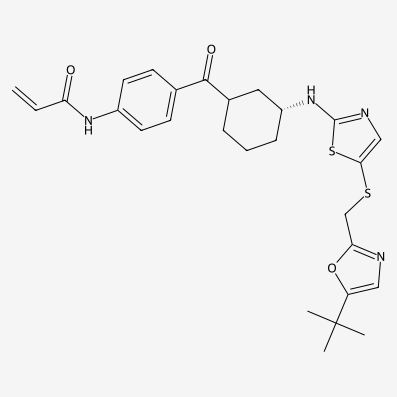 C=CC(=O)Nc1ccc(C(=O)C2CCC[C@@H](Nc3ncc(SCc4ncc(C(C)(C)C)o4)s3)C2)cc1